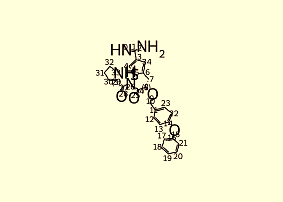 N=C(N)c1csc(C[C@H](OCc2ccc(Oc3ccccc3)cc2)C(=O)NC(=O)[C@@H]2CCCN2)c1